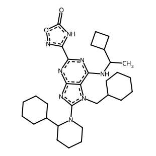 CC(Nc1nc(-c2noc(=O)[nH]2)nc2nc(N3CCCCC3C3CCCCC3)n(CC3CCCCC3)c12)C1CCC1